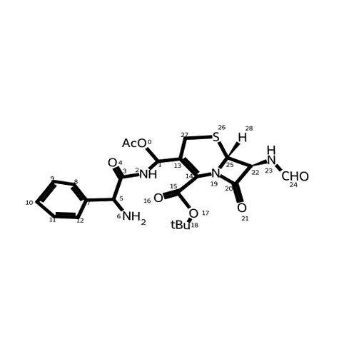 CC(=O)OC(NC(=O)C(N)c1ccccc1)C1=C(C(=O)OC(C)(C)C)N2C(=O)[C@H](NC=O)[C@H]2SC1